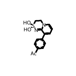 CC(=O)c1ccc(C2=CC=CN3CCS(O)(O)N=C23)cc1